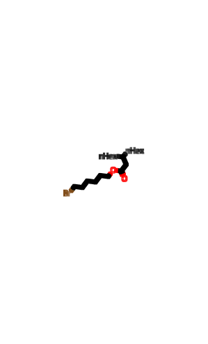 CCCCCCC(CCCCCC)CC(=O)OCCCCCCBr